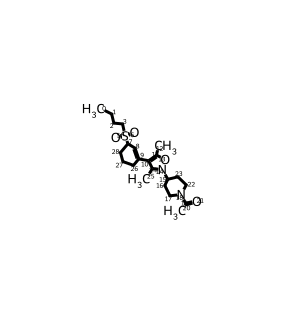 CCCCS(=O)(=O)C1C=C(C2=C(C)ON(C3CCN(C(C)=O)CC3)C2C)CCC1